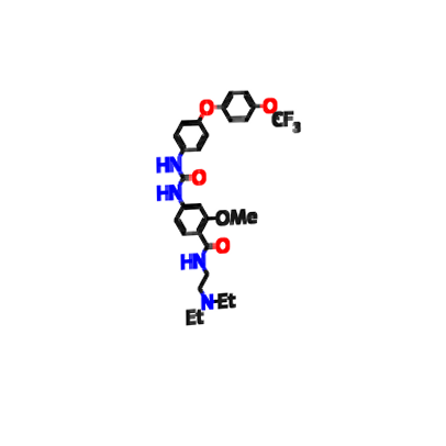 CCN(CC)CCNC(=O)c1ccc(NC(=O)Nc2ccc(Oc3ccc(OC(F)(F)F)cc3)cc2)cc1OC